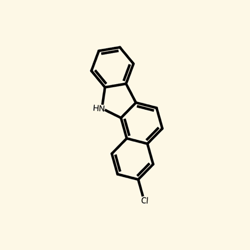 Clc1ccc2c(ccc3c4ccccc4[nH]c23)c1